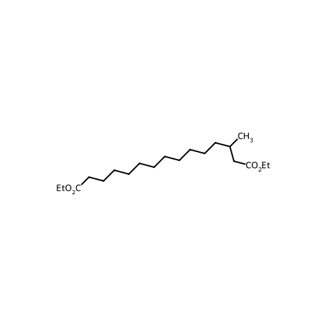 CCOC(=O)CCCCCCCCCCCC(C)CC(=O)OCC